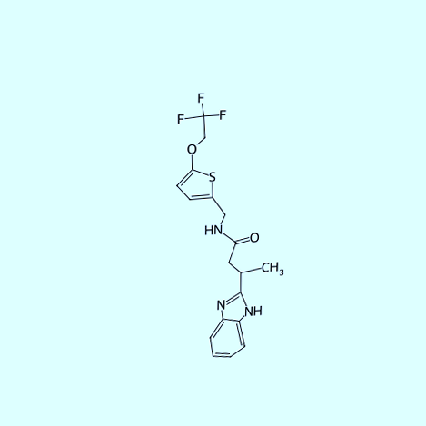 CC(CC(=O)NCc1ccc(OCC(F)(F)F)s1)c1nc2ccccc2[nH]1